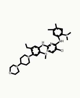 CCc1cc(Nc2ncc(Cl)c(Nc3cc(C)c(C)cc3P(C)C)n2)c(OC)cc1N1CCC(N2CCOCC2)CC1